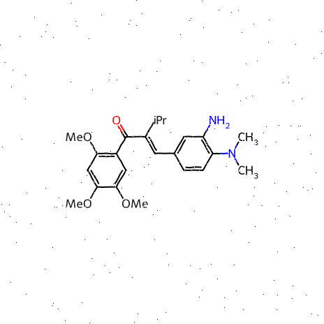 COc1cc(OC)c(C(=O)C(=Cc2ccc(N(C)C)c(N)c2)C(C)C)cc1OC